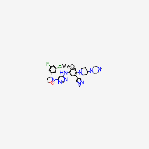 COc1cc(N2CCC(N3CCN(C)CC3)CC2)c(-c2cnn(C)c2)cc1Nc1cc(N2OCC[C@@H]2c2cc(F)cc(F)c2)ncn1